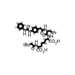 CC(C)CC(NC(=O)Cc1ccc(NC(=O)Nc2ccccc2)cc1)C(=O)NC(CC=CCC(NC(=O)CC(C)(C)C)C(=O)O)C(=O)O